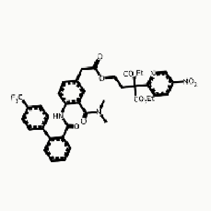 CCOC(=O)C(CCOC(=O)Cc1ccc(NC(=O)c2ccccc2-c2ccc(C(F)(F)F)cc2)c(C(=O)N(C)C)c1)(C(=O)OCC)c1ccc([N+](=O)[O-])cn1